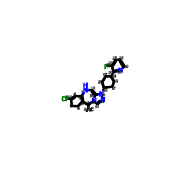 CC(=O)C1C2=C(C=C(Cl)CC2)NC=C2N1C=NN2[C@H]1CC[C@H](c2ncccc2F)CC1